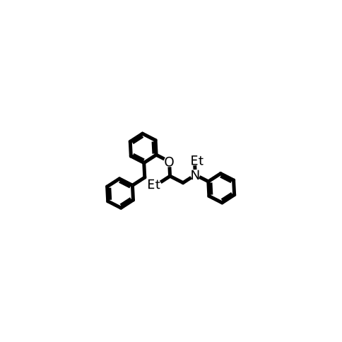 CCC(CN(CC)c1ccccc1)Oc1ccccc1Cc1ccccc1